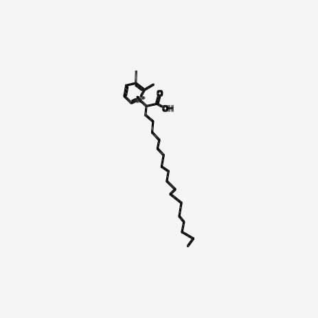 CCCCCCCCCCCCCCCCCC(C(=O)O)[n+]1cccc(C)c1C